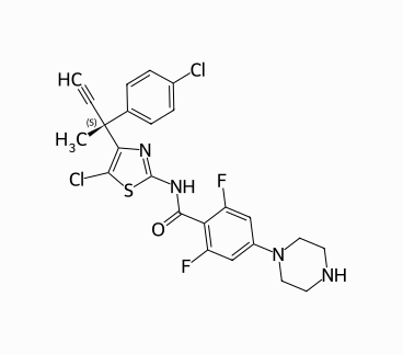 C#C[C@](C)(c1ccc(Cl)cc1)c1nc(NC(=O)c2c(F)cc(N3CCNCC3)cc2F)sc1Cl